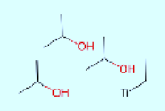 CC(C)O.CC(C)O.CC(C)O.C[CH2][Ti]